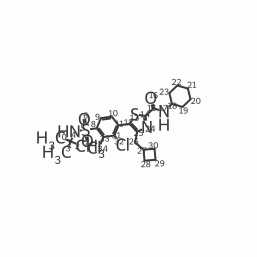 CC(C)(C)NS(=O)(=O)c1ccc(-c2sc(C(=O)NC3CCCCC3)nc2CC2CCC2)c(Cl)c1Cl